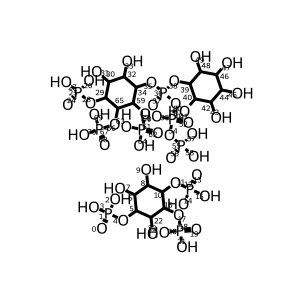 O=P(O)(O)OC1C(O)C(O)C(OP(=O)(O)O)C(OP(=O)(O)O)C1O.O=P(O)(O)OC1C(O)C(O)C(OP(=O)(OC2C(O)C(O)C(O)C(O)C2O)OP(=O)(O)OP(=O)(O)O)C(OP(=O)(O)O)C1OP(=O)(O)O